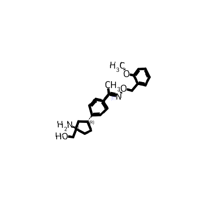 COc1ccccc1CO/N=C(\C)c1ccc([C@@H]2CC[C@](N)(CO)C2)cc1